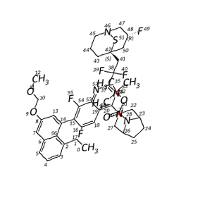 CCc1cccc2cc(OCOC)cc(-c3c(F)cc4c(N5CC6CCC(C5)N6C(=O)OC(C)(C)C)nc(C(F)(F)C[C@]56CCCN(C[C@H](F)C5)S6)nc4c3F)c12